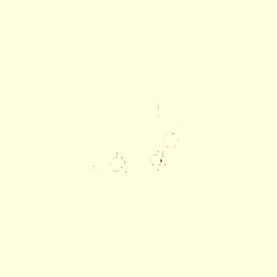 CC(=O)c1cnc(OCc2cn(-c3ccc(Cl)c(C(C)(F)F)c3)nn2)nc1